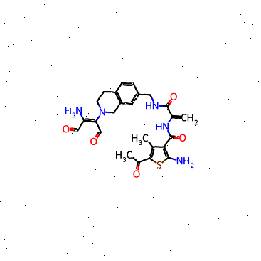 C=C(NC(=O)c1c(N)sc(C(C)=O)c1C)C(=O)NCc1ccc2c(c1)CN(/C(C=O)=C(\N)C=O)CC2